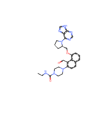 CCNC(=O)N1CCN(c2ccc3cccc(OC[C@H]4CCCN4c4ncnc5[nH]cnc45)c3c2C=O)CC1